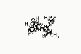 Cc1nc2c(CCC(F)(F)C(F)(F)P)nc(-c3nc(N)c4c(n3)NC(=O)C4(C)c3ccc(F)cc3)cn2c1Br